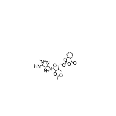 CC(=O)O[C@@H]1[C@H](C)[C@@H](COP2OC(=O)c3ccccc3O2)O[C@H]1n1cnc2c(=N)n(C)cnc21